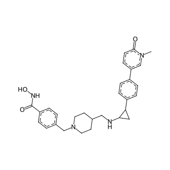 Cn1cc(-c2ccc(C3CC3NCC3CCN(Cc4ccc(C(=O)NO)cc4)CC3)cc2)ccc1=O